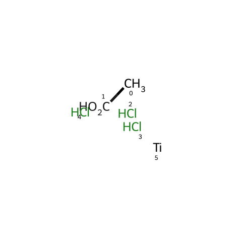 CC(=O)O.Cl.Cl.Cl.[Ti]